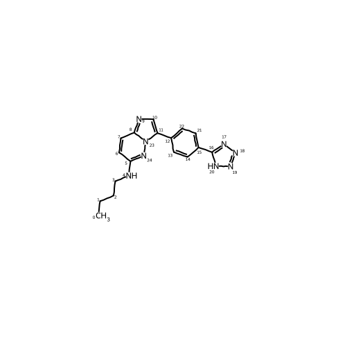 CCCCNc1ccc2ncc(-c3ccc(-c4nnn[nH]4)cc3)n2n1